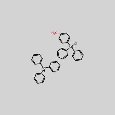 O.[Cl][Sn]([c]1ccccc1)([c]1ccccc1)[c]1ccccc1.c1cc[c]([SnH]([c]2ccccc2)[c]2ccccc2)cc1